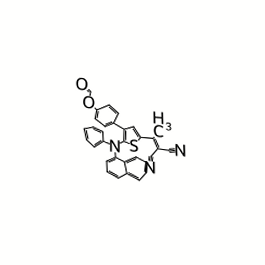 CC(=C(C#N)C#N)c1cc(-c2ccc(OC=O)cc2)c(N(c2ccccc2)c2cccc3ccccc23)s1